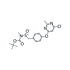 Cc1nc(Cl)cc(Oc2ccc(C[S+]([O-])N(C)C(=O)OC(C)(C)C)cc2)n1